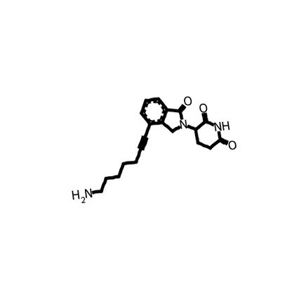 NCCCCCC#Cc1cccc2c1CN(C1CCC(=O)NC1=O)C2=O